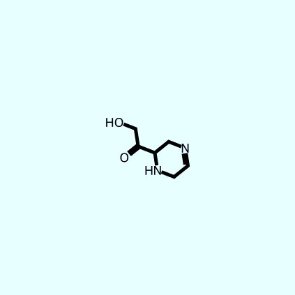 O=C(CO)C1CN=CCN1